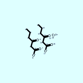 CCCC(=O)CC(=O)[O-].CCCC(=O)CC(=O)[O-].[Cr+2]